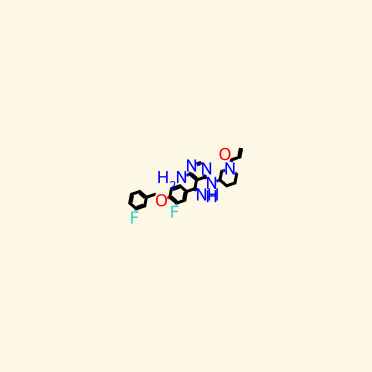 C=CC(=O)N1CCCC(Nc2ncnc(N)c2C(=N)c2ccc(OCc3cccc(F)c3)c(F)c2)C1